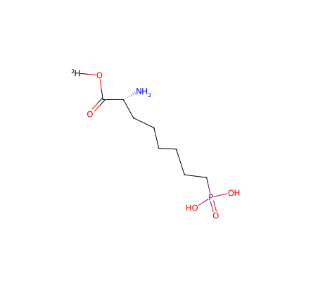 [2H]OC(=O)[C@H](N)CCCCCCP(=O)(O)O